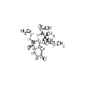 CCCCOc1c(CN(C(=O)O)C(C)(C)C)n(CCC)c(=O)c2ccc(Cl)cc12